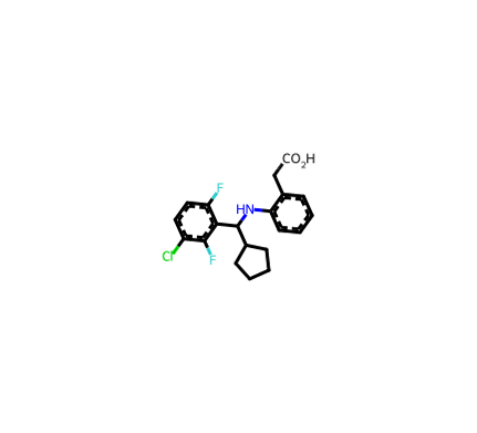 O=C(O)Cc1ccccc1NC(c1c(F)ccc(Cl)c1F)C1CCCC1